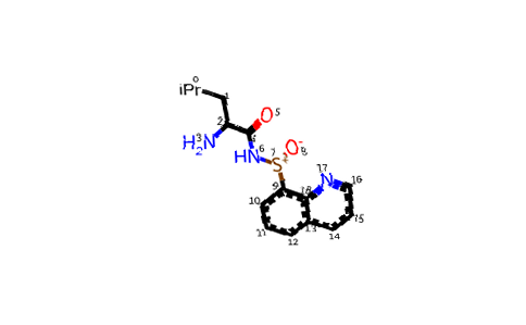 CC(C)CC(N)C(=O)N[S+]([O-])c1cccc2cccnc12